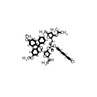 BB[C@H]1CC(OP(=O)(OC#CC#CC#CCl)OC[C@H]2O[C@@H](B)CC2OC(C)C)[C@@H](COC(c2ccccc2)(c2ccc(OC)cc2)c2ccc(OC)cc2)O1